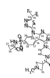 CN1CC(C(=O)N2CCN(c3ncnc4c3c3ccc(S(=O)(=O)NC5(C#N)CC5)cc3n4-c3nnc(C(F)F)s3)CC2)C1